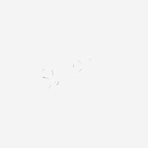 O=C1N[C@@H](OCc2ccc(CN3CCOCC3)cc2)c2ccccc21